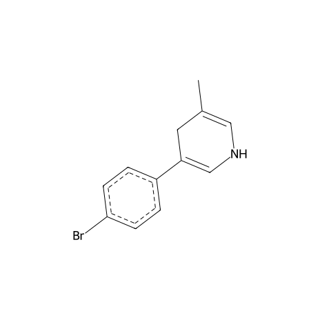 CC1=CNC=C(c2ccc(Br)cc2)C1